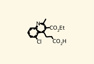 CCOC(=O)c1c(C)nc2cccc(Cl)c2c1CCC(=O)O